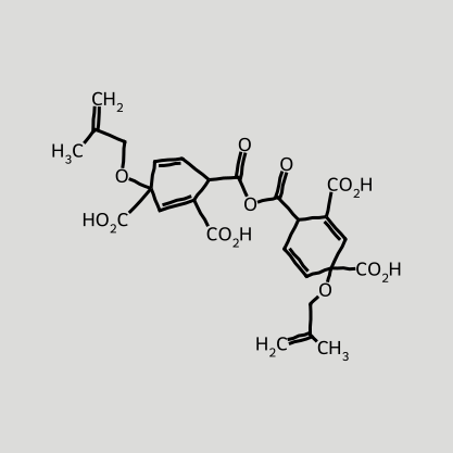 C=C(C)COC1(C(=O)O)C=CC(C(=O)OC(=O)C2C=CC(OCC(=C)C)(C(=O)O)C=C2C(=O)O)C(C(=O)O)=C1